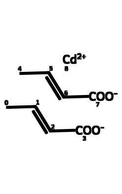 C/C=C/C(=O)[O-].C/C=C/C(=O)[O-].[Cd+2]